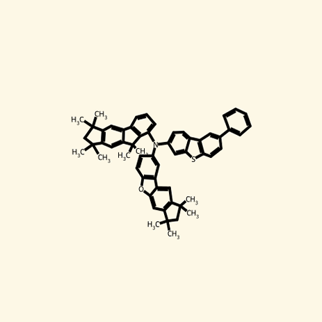 CC1(C)CC(C)(C)c2cc3c(cc21)-c1cccc(N(c2ccc4c(c2)sc2ccc(-c5ccccc5)cc24)c2ccc4oc5cc6c(cc5c4c2)C(C)(C)CC6(C)C)c1C3(C)C